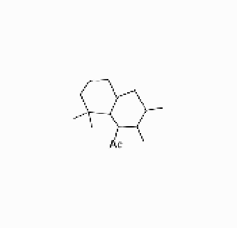 CC(=O)C1C(C)C(C)CC2CCCC(C)(C)C21